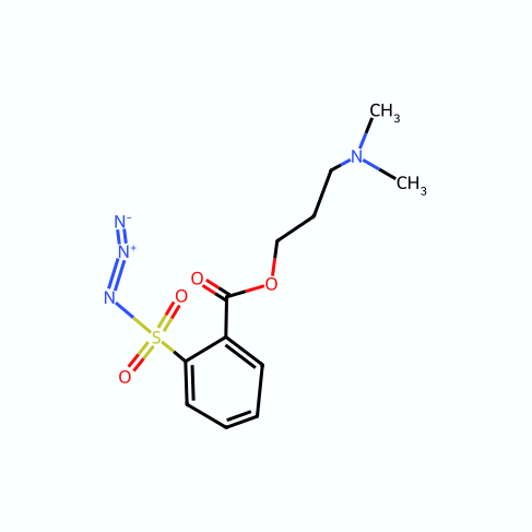 CN(C)CCCOC(=O)c1ccccc1S(=O)(=O)N=[N+]=[N-]